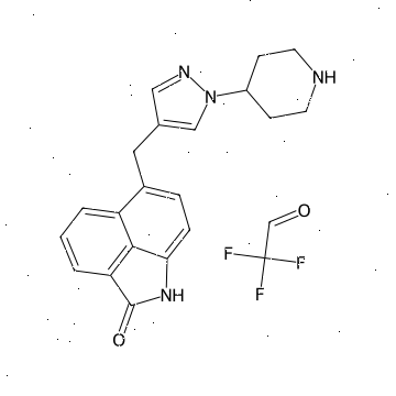 O=C1Nc2ccc(Cc3cnn(C4CCNCC4)c3)c3cccc1c23.O=CC(F)(F)F